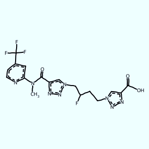 CN(C(=O)c1cn(CC(F)CCn2cc(C(=O)O)nn2)nn1)c1cc(C(F)(F)F)ccn1